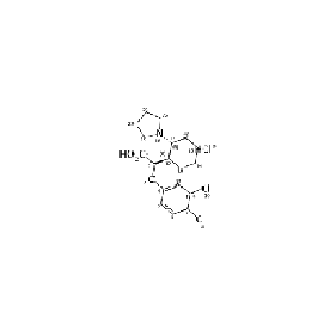 Cl.O=C(O)C(Oc1ccc(Cl)c(Cl)c1)[C@@H]1CCCC[C@H]1N1CCCC1